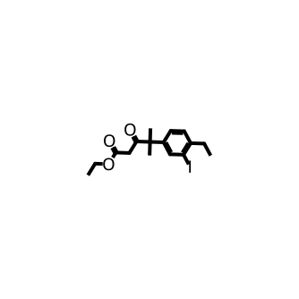 CCOC(=O)CC(=O)C(C)(C)c1ccc(CC)c(I)c1